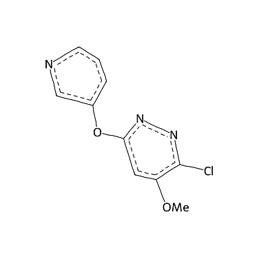 COc1cc(Oc2cccnc2)nnc1Cl